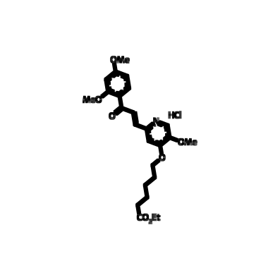 CCOC(=O)CCCCCOc1cc(C=CC(=O)c2ccc(OC)cc2OC)ncc1OC.Cl